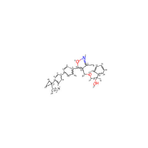 Cc1noc(-c2ccc(-c3ccc(C4(C(=O)O)CC4)cc3)cc2)c1COCC(C)(O)c1ccccc1